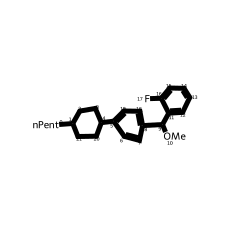 CCCCCC1CCC(c2ccc(C(OC)c3ccccc3F)cc2)CC1